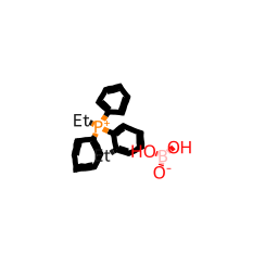 CCc1ccccc1[P+](CC)(c1ccccc1)c1ccccc1.[O-]B(O)O